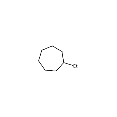 C[CH]C1CCCCCC1